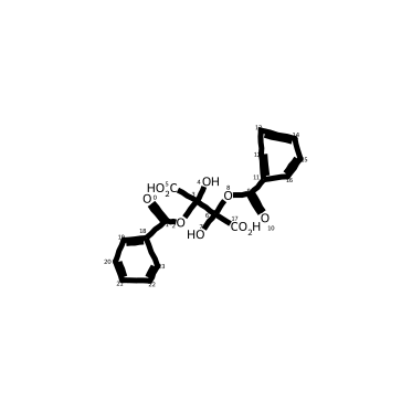 O=C(OC(O)(C(=O)O)C(O)(OC(=O)c1ccccc1)C(=O)O)c1ccccc1